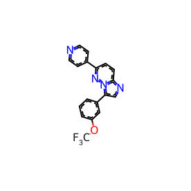 FC(F)(F)Oc1cccc(-c2cnc3ccc(-c4ccncc4)nn23)c1